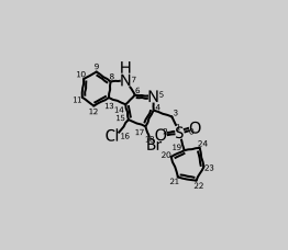 O=S(=O)(Cc1nc2[nH]c3ccccc3c2c(Cl)c1Br)c1ccccc1